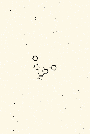 COc1ccc(Oc2ccnc(NCc3c(-c4ccc(O[C@H]5CCC[C@H](C(=O)O)C5)c(C)n4)nnn3C)n2)cc1